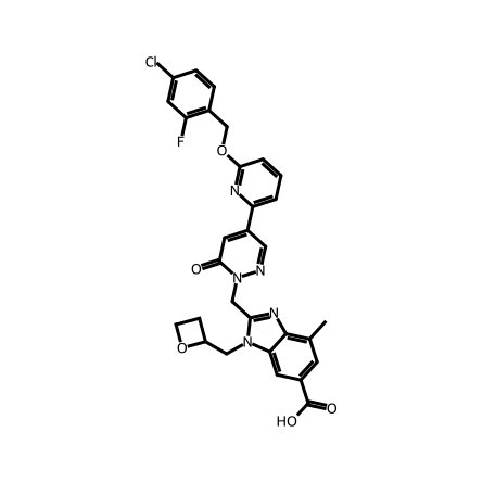 Cc1cc(C(=O)O)cc2c1nc(Cn1ncc(-c3cccc(OCc4ccc(Cl)cc4F)n3)cc1=O)n2CC1CCO1